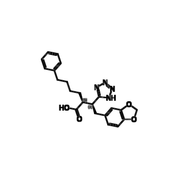 O=C(O)[C@@H](CCCCc1ccccc1)[C@H](Cc1ccc2c(c1)OCO2)c1nnn[nH]1